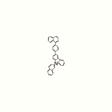 c1ccc2cc(-n3c4ccccc4c4cc(-c5ccc(-c6cccc7ccccc67)cc5)ccc43)ccc2c1